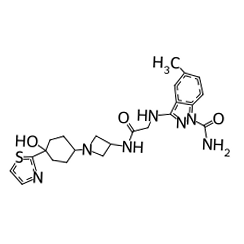 Cc1ccc2c(c1)c(NCC(=O)NC1CN(C3CCC(O)(c4nccs4)CC3)C1)nn2C(N)=O